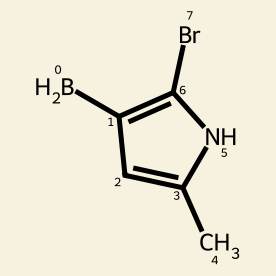 Bc1cc(C)[nH]c1Br